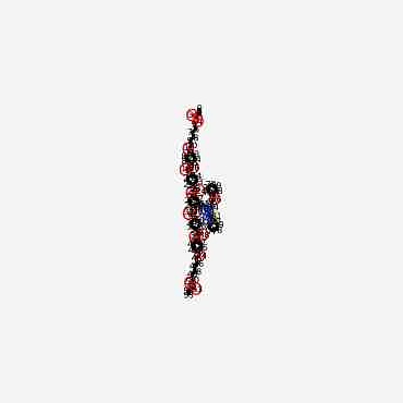 C=CC(=O)OCCCCCCOc1ccc(OC(=O)[C@H]2CC[C@H](C(=O)Oc3ccc(OC(=O)[C@H]4CC[C@H](C(=O)Oc5ccc(OCCCCCCOC(=O)C=C)cc5)CC4)c(/C=N/N(CCOc4ccccc4)c4nc5ccccc5s4)c3)CC2)cc1